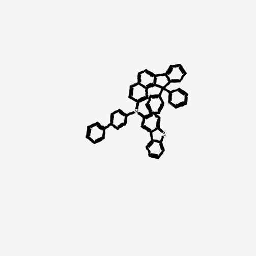 c1ccc(-c2ccc(N(c3ccc4ccc5c(c4c3)C(c3ccccc3)(c3ccccc3)c3ccccc3-5)c3ccc4sc5ccccc5c4c3)cc2)cc1